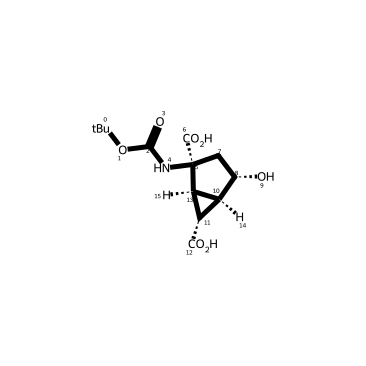 CC(C)(C)OC(=O)N[C@@]1(C(=O)O)C[C@H](O)[C@H]2[C@H](C(=O)O)[C@H]21